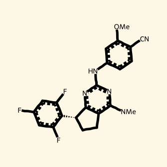 CNc1nc(Nc2ccc(C#N)c(OC)c2)nc2c1CC[C@@H]2c1c(F)cc(F)cc1F